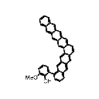 COc1cccc(-c2cccc3cc4cc5ccc6cc7cc8cc9ccccc9cc8cc7cc6c5cc4cc23)c1O